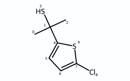 CC(C)(S)c1ccc(Cl)s1